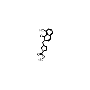 CC(C)(C)OC(=O)N1CCC(Cn2ccc3cccc(O)c3c2=O)C1